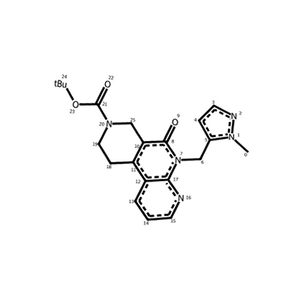 Cn1nccc1Cn1c(=O)c2c(c3cccnc31)CCN(C(=O)OC(C)(C)C)C2